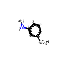 CC[N]c1cccc(S(=O)(=O)O)c1